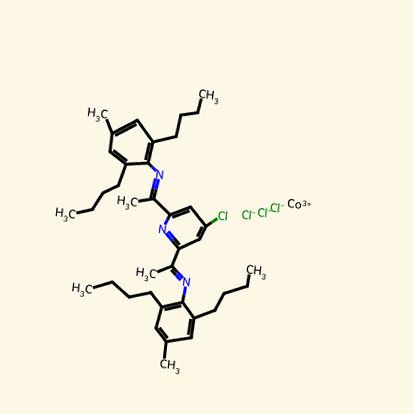 CCCCc1cc(C)cc(CCCC)c1N=C(C)c1cc(Cl)cc(C(C)=Nc2c(CCCC)cc(C)cc2CCCC)n1.[Cl-].[Cl-].[Cl-].[Co+3]